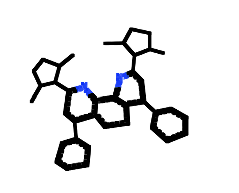 CC1CCC(C)C1c1cc(-c2ccccc2)c2ccc3c(-c4ccccc4)cc(C4C(C)CCC4C)nc3c2n1